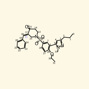 CCCc1cc(-c2cc(S(=O)(=O)N3CCC(=O)/C(=C/c4ccccc4)C3)ccc2OCC)n(C)n1